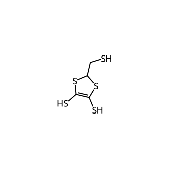 SCC1SC(S)=C(S)S1